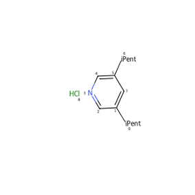 CCCC(C)c1cncc(C(C)CCC)c1.Cl